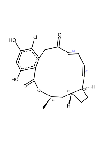 C[C@@H]1C[C@H]2CC[C@@H]2/C=C\C=C\C(=O)Cc2c(Cl)c(O)cc(O)c2C(=O)O1